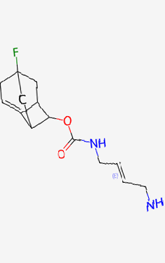 NC/C=C/CNC(=O)OC1C2CC3(F)CC=C2C1C3